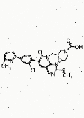 CSc1ncc2cc(-c3ccc(-c4cccc(C)n4)cc3Cl)c(=O)n(CC3CN(C(=O)O)CCO3)c2n1